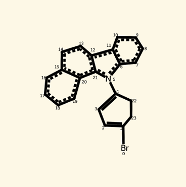 BrC1=CC=C(n2c3ccccc3c3ccc4ccccc4c32)CC1